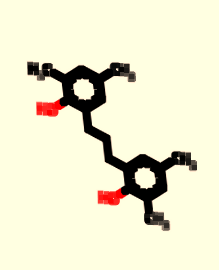 Cc1cc(C)c(O)c(CCCc2cc(C)cc(C)c2O)c1